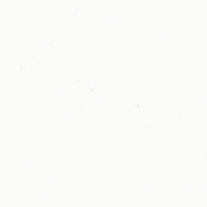 CCOC(=O)c1ccc(N2CCC(NC(=O)c3ccccc3Br)CC2)cc1